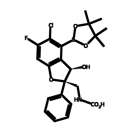 CC1(C)OB(c2c(Cl)c(F)cc3c2[C@H](O)[C@@](CNC(=O)O)(c2ccccc2)O3)OC1(C)C